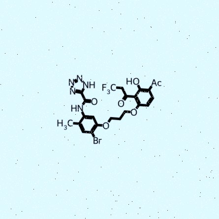 CC(=O)c1ccc(OCCCOc2cc(NC(=O)c3nnn[nH]3)c(C)cc2Br)c(C(=O)CC(F)(F)F)c1O